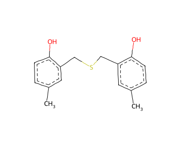 Cc1ccc(O)c(CSCc2cc(C)ccc2O)c1